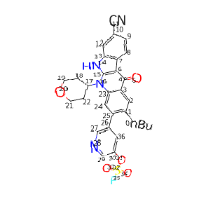 CCCCc1cc2c(=O)c3c4ccc(C#N)cc4[nH]c3n(C3CCOCC3)c2cc1-c1cncc(OS(=O)(=O)F)c1